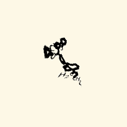 C=C/C=C\C(=C)C1=c2\cccc\c2=C(c2ccc(/C3=C/c4c(ccc5c4sc4ccccc45)Cc4ccccc4OC3)cc2)\C=C\CC\C=C\1